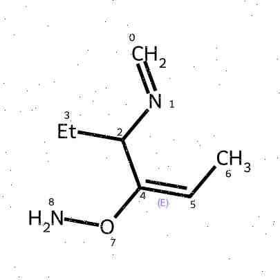 C=NC(CC)/C(=C\C)ON